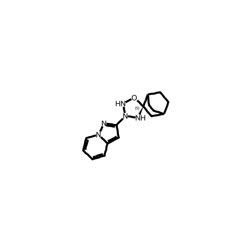 c1ccn2nc(N3NO[C@]4(CC5CCC4CC5)N3)cc2c1